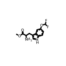 COC(=O)C(N)Cc1c[nH]c2ccc(OC(F)F)cc12